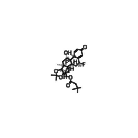 CC(C)(C)CC(=O)OCC(=O)[C@@]12OC(C)(C)O[C@H]1C[C@H]1[C@@H]3C[C@H](F)C4=CC(=O)C=C[C@]4(C)C3(F)[C@@H](O)C[C@@]12C